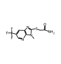 Cn1c(SCC(N)=O)nc2cc(C(F)(F)F)cnc21